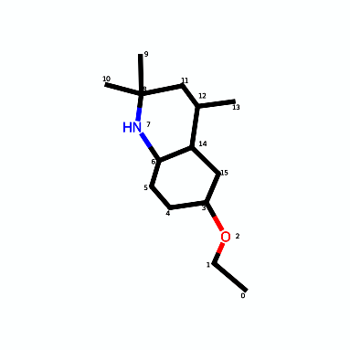 CCOC1CCC2NC(C)(C)CC(C)C2C1